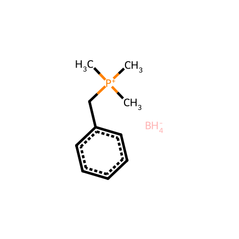 C[P+](C)(C)Cc1ccccc1.[BH4-]